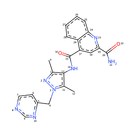 Cc1nn(Cc2ccncn2)c(C)c1NC(=O)c1cc(C(N)=O)nc2ccccc12